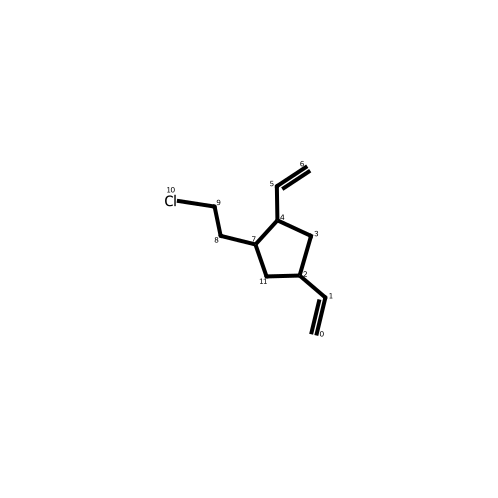 C=CC1CC(C=C)C(CCCl)C1